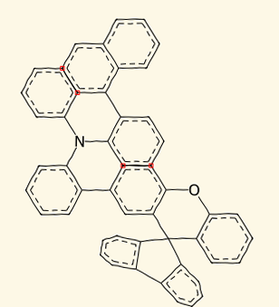 c1ccc(N(c2ccccc2-c2ccc3c(c2)C2(c4ccccc4O3)c3ccccc3-c3ccccc32)c2ccccc2-c2cccc3ccccc23)cc1